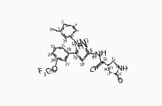 Cc1cccc(-n2nc(NC(=O)[C@H]3CNC(=O)C3)cc2-c2cccc(OC(F)(F)F)c2)c1